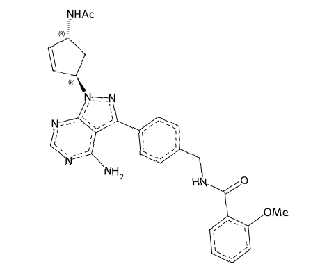 COc1ccccc1C(=O)NCc1ccc(-c2nn([C@H]3C=C[C@H](NC(C)=O)C3)c3ncnc(N)c23)cc1